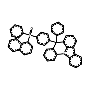 O=P(c1ccccc1)(c1ccc(C2(c3ccccc3)c3ccccc3-n3c4ccccc4c4cccc2c43)cc1)c1cccc2ccccc12